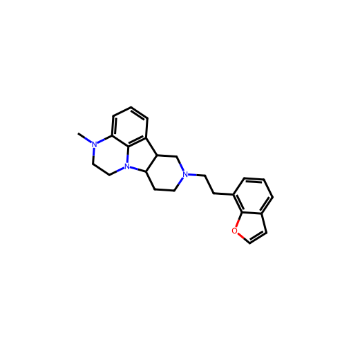 CN1CCN2c3c(cccc31)C1CN(CCc3cccc4ccoc34)CCC12